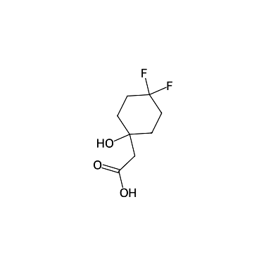 O=C(O)CC1(O)CCC(F)(F)CC1